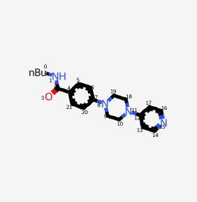 CCCCNC(=O)c1ccc(N2CCN(c3ccncc3)CC2)cc1